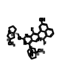 C[C@H]1CN2CCC[C@@]2(COc2nc(N3CC4CC[C@@](C)(C3)N4)c3cc(F)c(-c4cc(O)cc5cccc(C(F)F)c45)c(F)c3n2)C1